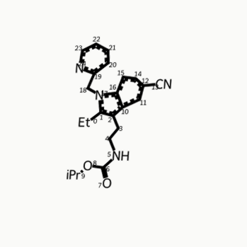 CCc1c(CCNC(=O)OC(C)C)c2cc(C#N)ccc2n1Cc1ccccn1